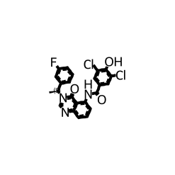 C[C@@H](c1cccc(F)c1)n1cnc2cccc(NC(=O)c3cc(Cl)c(O)c(Cl)c3)c2c1=O